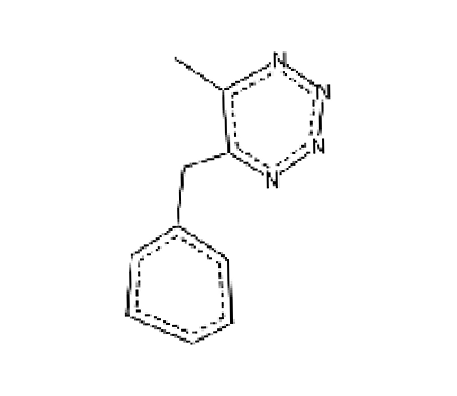 Cc1nnnnc1Cc1ccccc1